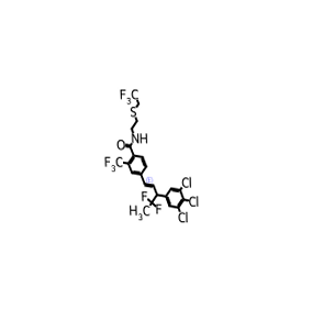 CC(F)(F)C(/C=C/c1ccc(C(=O)NCCSCC(F)(F)F)c(C(F)(F)F)c1)c1cc(Cl)c(Cl)c(Cl)c1